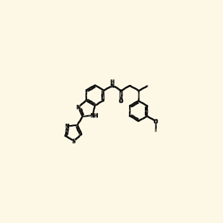 COc1cccc(C(C)CC(=O)Nc2ccc3nc(-c4cscn4)[nH]c3c2)c1